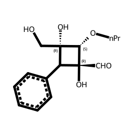 CCCO[C@@H]1[C@@](O)(C=O)C(c2ccccc2)[C@@]1(O)CO